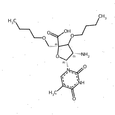 CCCCOC[C@@]1(C(=O)O)O[C@@H](n2cc(C)c(=O)[nH]c2=O)[C@@H](N)C1OCCCC